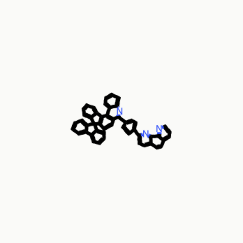 c1ccc2c(c1)-c1ccccc1C21c2ccccc2-c2c1ccc1c(-c3ccc(-c4ccc5ccc6cccnc6c5n4)cc3)nc3ccccc3c21